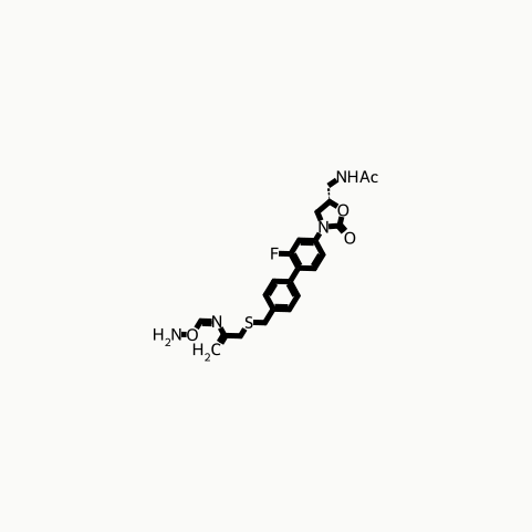 C=C(CSCc1ccc(-c2ccc(N3C[C@H](CNC(C)=O)OC3=O)cc2F)cc1)/N=C\ON